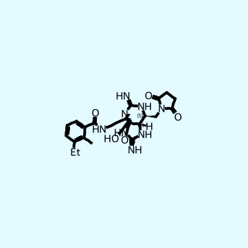 CCc1cccc(C(=O)NC2CN3C(=N)N[C@@H](CN4C(=O)CCC4=O)[C@@H]4NC(=N)NC43C2(O)O)c1C